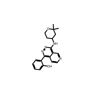 CC1(C)CC(Nc2nnc(-c3ccccc3O)c3ccncc23)CCO1